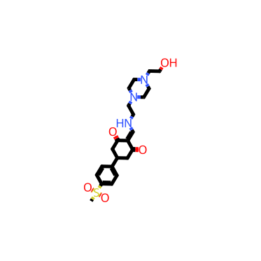 CS(=O)(=O)c1ccc(C2CC(=O)C(=CNCCN3CCN(CCO)CC3)C(=O)C2)cc1